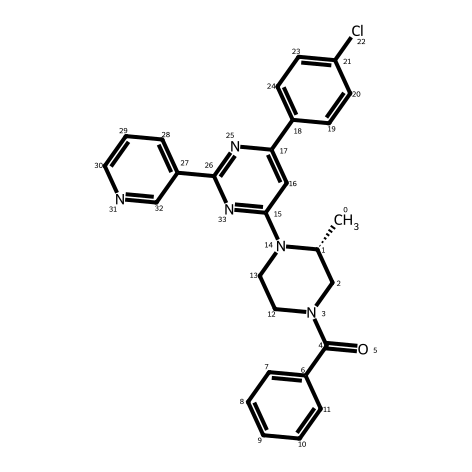 C[C@@H]1CN(C(=O)c2ccccc2)CCN1c1cc(-c2ccc(Cl)cc2)nc(-c2cccnc2)n1